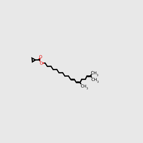 CC(C)=CCCC(C)=CC=CCCCCCCCCCOC(=O)C1CC1